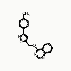 Cc1ccc(-c2cc(COc3ncnc4ccccc34)on2)cc1